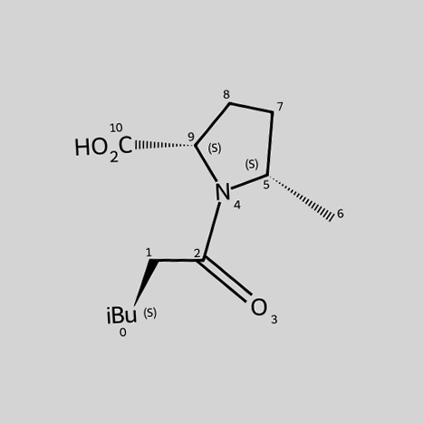 CC[C@H](C)CC(=O)N1[C@@H](C)CC[C@H]1C(=O)O